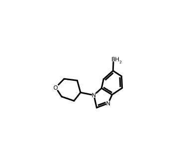 Bc1ccc2ncn(C3CCOCC3)c2c1